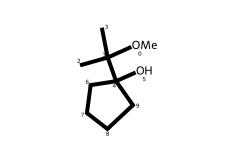 COC(C)(C)C1(O)CCCC1